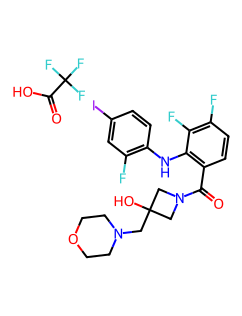 O=C(O)C(F)(F)F.O=C(c1ccc(F)c(F)c1Nc1ccc(I)cc1F)N1CC(O)(CN2CCOCC2)C1